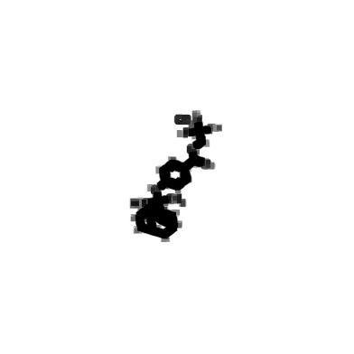 CC(C)(Oc1ccc(C(=O)OCC(F)(F)C(=O)O)cc1)C12CC3CC(CC(C3)C1)C2